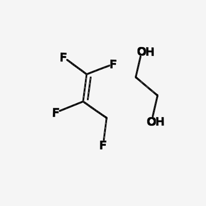 FCC(F)=C(F)F.OCCO